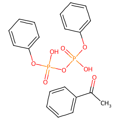 CC(=O)c1ccccc1.O=P(O)(Oc1ccccc1)OP(=O)(O)Oc1ccccc1